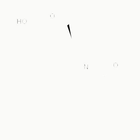 C=C[C@H]1CN(C(=O)c2ccccc2)CC[C@@H]1CC(=O)O